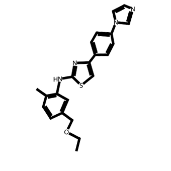 CCOCc1ccc(C)c(Nc2nc(-c3ccc(-n4ccnc4)cc3)cs2)c1